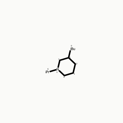 CCC(C)C1CCCN(C(C)C)C1